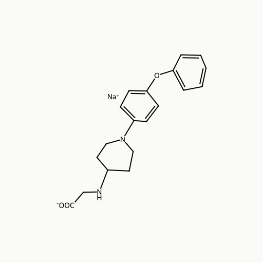 O=C([O-])CNC1CCN(c2ccc(Oc3ccccc3)cc2)CC1.[Na+]